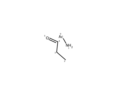 CC(N)=O.CCC=O